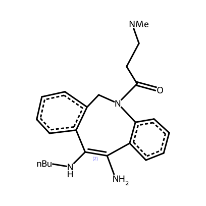 CCCCN/C1=C(\N)c2ccccc2N(C(=O)CCNC)Cc2ccccc21